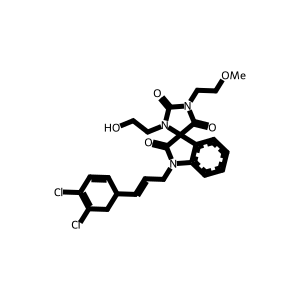 COCCN1C(=O)N(CCO)C2(C1=O)C(=O)N(C/C=C/C1C=CC(Cl)=C(Cl)C1)c1ccccc12